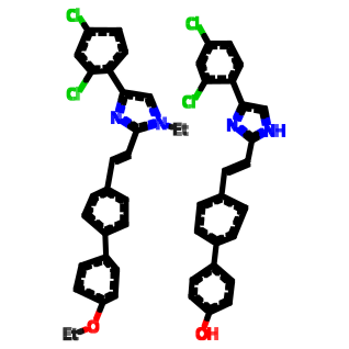 CCOc1ccc(-c2ccc(C=Cc3nc(-c4ccc(Cl)cc4Cl)cn3CC)cc2)cc1.Oc1ccc(-c2ccc(C=Cc3nc(-c4ccc(Cl)cc4Cl)c[nH]3)cc2)cc1